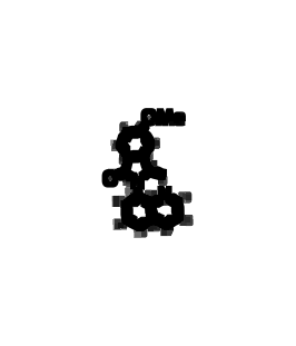 C=C1c2cc(OC)ccc2C(=O)N1c1cccc2cccnc12